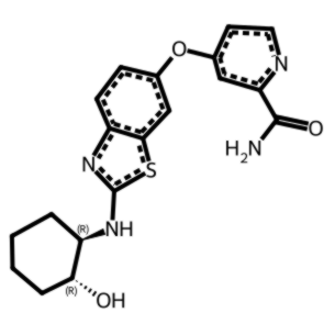 NC(=O)c1cc(Oc2ccc3nc(N[C@@H]4CCCC[C@H]4O)sc3c2)ccn1